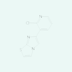 Clc1ncccc1-c1cn2ccsc2n1